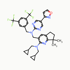 CC1(C)CCc2cc(CN(Cc3cc(C(F)(F)F)cc(C(F)(F)F)c3)c3ncc(-c4ccon4)cn3)c(N(CC3CC3)CC3CC3)nc21